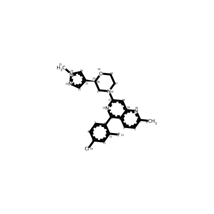 Cc1ccc2c(-c3ccc(Cl)cc3F)nc(N3CCO[C@H](c4cnn(C)c4)C3)cc2n1